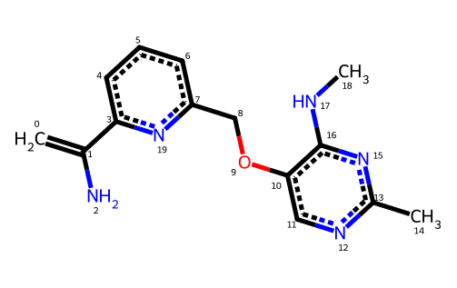 C=C(N)c1cccc(COc2cnc(C)nc2NC)n1